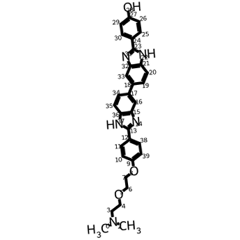 CN(C)CCOCCOc1ccc(-c2nc3cc(-c4ccc5[nH]c(-c6ccc(O)cc6)nc5c4)ccc3[nH]2)cc1